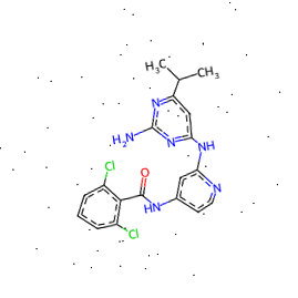 CC(C)c1cc(Nc2cc(NC(=O)c3c(Cl)cccc3Cl)ccn2)nc(N)n1